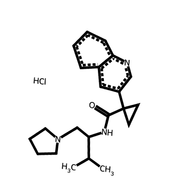 CC(C)C(CN1CCCC1)NC(=O)C1(c2cnc3ccccc3c2)CC1.Cl